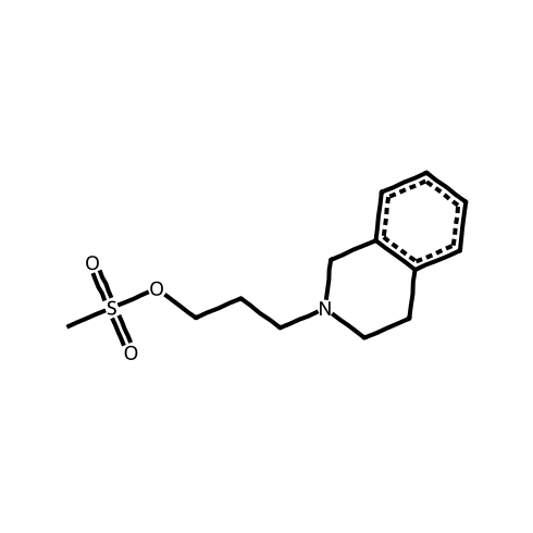 CS(=O)(=O)OCCCN1CCc2ccccc2C1